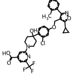 Cc1ccccc1-c1noc(C2CC2)c1COc1ccc(C2(O)CCN(c3cc(C(=O)O)cc(C(F)(F)F)n3)CC2)c(Cl)c1